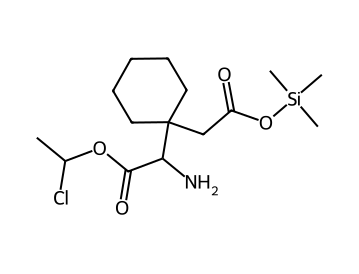 CC(Cl)OC(=O)C(N)C1(CC(=O)O[Si](C)(C)C)CCCCC1